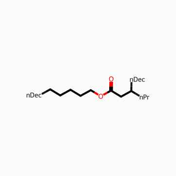 CCCCCCCCCCCCCCCOC(=O)CC(CCC)CCCCCCCCCC